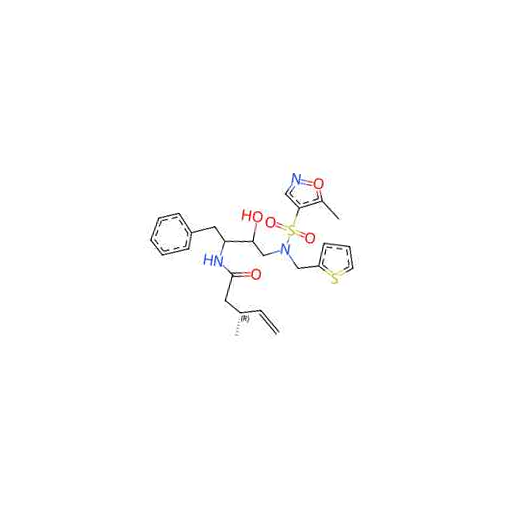 C=C[C@H](C)CC(=O)NC(Cc1ccccc1)C(O)CN(Cc1cccs1)S(=O)(=O)c1cnoc1C